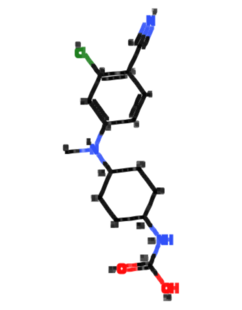 CN(c1ccc(C#N)c(Cl)c1)C1CCC(NC(=O)O)CC1